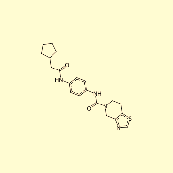 O=C(CC1CCCC1)Nc1ccc(NC(=O)N2CCc3scnc3C2)cc1